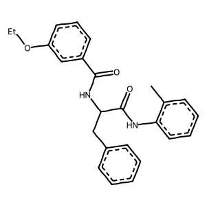 CCOc1cccc(C(=O)NC(Cc2ccccc2)C(=O)Nc2ccccc2C)c1